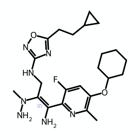 Cc1nc(/C(N)=C(\CNc2noc(CCC3CC3)n2)N(C)N)c(F)cc1OC1CCCCC1